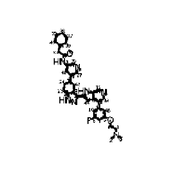 CN(C)CCOc1cc(F)cc(-c2cncc3[nH]c(-c4n[nH]c5ccc(-c6cncc(NC(=O)CC7CCCCC7)c6)cc45)cc23)c1